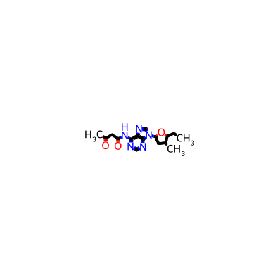 CCC1OC(n2cnc3c(NC(=O)CC(C)=O)ncnc32)CC1C